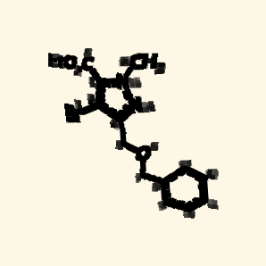 CCOC(=O)c1c(Br)c(COCc2ccccc2)nn1C